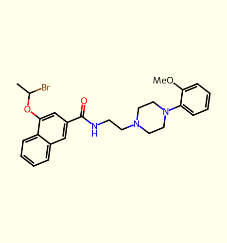 COc1ccccc1N1CCN(CCNC(=O)c2cc(OC(C)Br)c3ccccc3c2)CC1